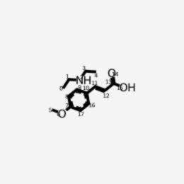 CCNCC.COc1ccc(C=CC(=O)O)cc1